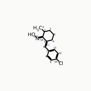 CC1CCCC(=C\c2ccc(Cl)cc2)/C1=N/O